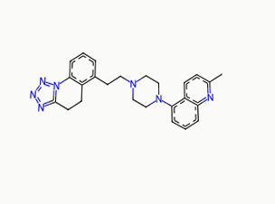 Cc1ccc2c(N3CCN(CCc4cccc5c4CCc4nnnn4-5)CC3)cccc2n1